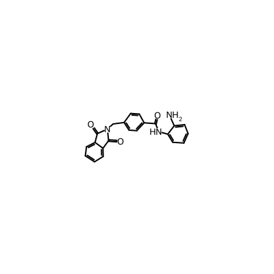 Nc1ccccc1NC(=O)c1ccc(CN2C(=O)c3ccccc3C2=O)cc1